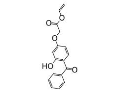 C=COC(=O)COc1ccc(C(=O)c2ccccc2)c(O)c1